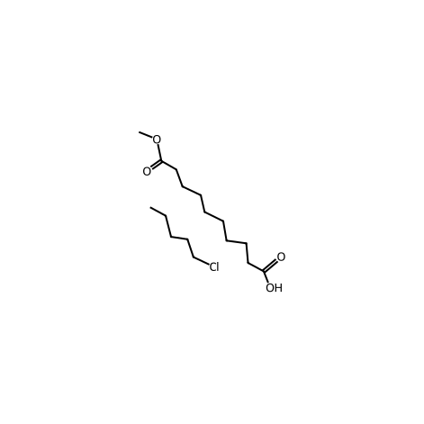 CCCCCCl.COC(=O)CCCCCCCCC(=O)O